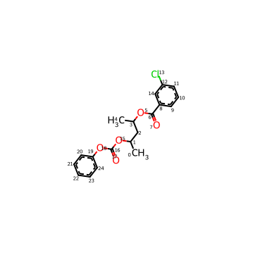 CC(CC(C)OC(=O)c1cccc(Cl)c1)OC(=O)Oc1ccccc1